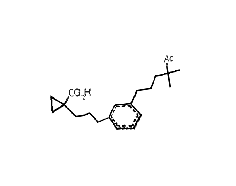 CC(=O)C(C)(C)CCCc1cccc(CCCC2(C(=O)O)CC2)c1